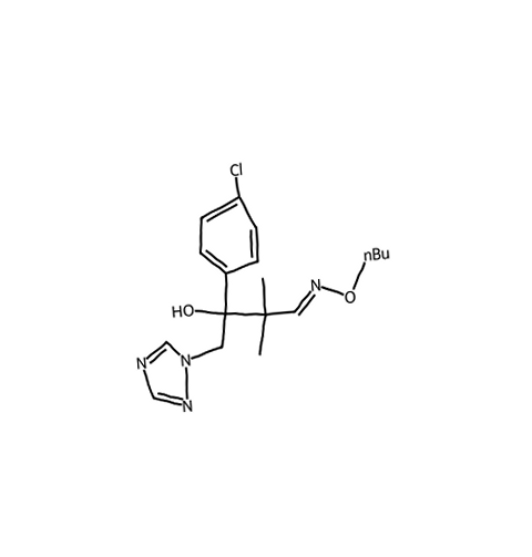 CCCCON=CC(C)(C)C(O)(Cn1cncn1)c1ccc(Cl)cc1